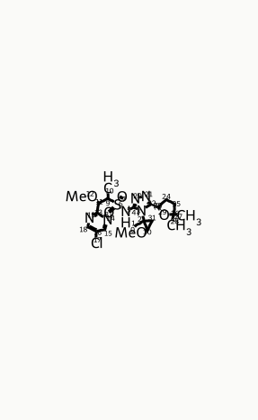 COCC1(n2c(NS(=O)(=O)C(C)C(OC)c3ncc(Cl)cn3)nnc2[C@H]2CCC(C)(C)O2)CC1